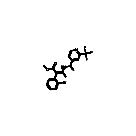 COC(=O)C(=C(C)NC(C)c1ccnc(C(F)(F)F)c1)c1ccccc1Br